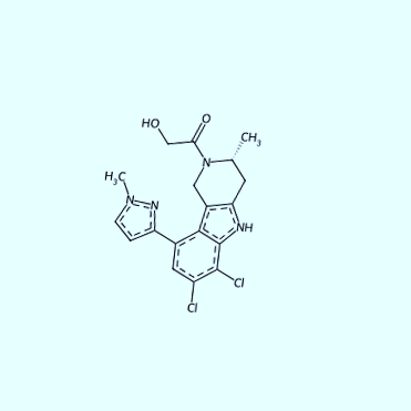 C[C@@H]1Cc2[nH]c3c(Cl)c(Cl)cc(-c4ccn(C)n4)c3c2CN1C(=O)CO